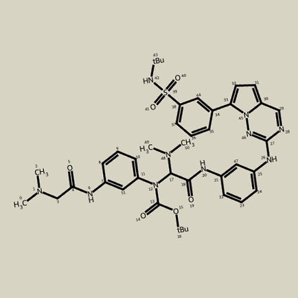 CN(C)CC(=O)Nc1cccc(N(C(=O)OC(C)(C)C)C(C(=O)Nc2cccc(Nc3ncc4ccc(-c5cccc(S(=O)(=O)NC(C)(C)C)c5)n4n3)c2)N(C)C)c1